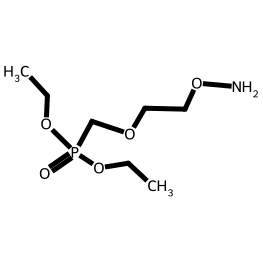 CCOP(=O)(COCCON)OCC